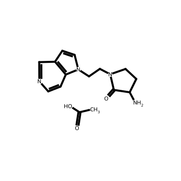 CC(=O)O.NC1CCN(CCn2ccc3cnccc32)C1=O